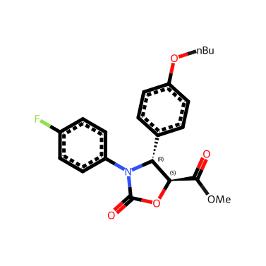 CCCCOc1ccc([C@@H]2[C@@H](C(=O)OC)OC(=O)N2c2ccc(F)cc2)cc1